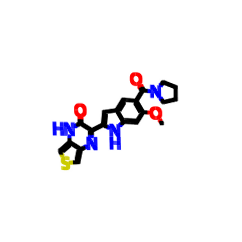 COc1cc2[nH]c(-c3nc4cscc4[nH]c3=O)cc2cc1C(=O)N1CCCC1